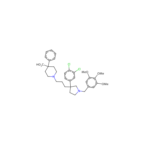 COc1cc(CN2CCC(CCCN3CCC(C(=O)O)(c4ccccc4)CC3)(c3ccc(Cl)c(Cl)c3)C2)cc(OC)c1OC